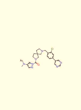 CC(=O)N(C)c1cnn(C(=O)N2CCC3(CCN(Cc4ccc(-c5cncnc5)cc4Cl)C3)C2)c1